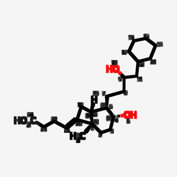 C[C@]12CC[C@@H](O)[C@H](CCC(O)CC3CCCCC3)[C@H]1CC2=CCCC(=O)O